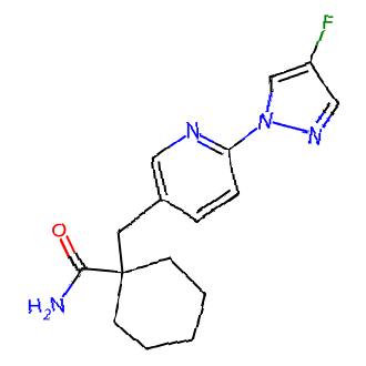 NC(=O)C1(Cc2ccc(-n3cc(F)cn3)nc2)CCCCC1